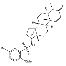 COc1ccc(Br)cc1S(=O)(=O)N[C@H]1CC[C@H]2[C@@H]3CC[C@H]4N(C)C(=O)C=C[C@]4(C)[C@H]3CC[C@]12C